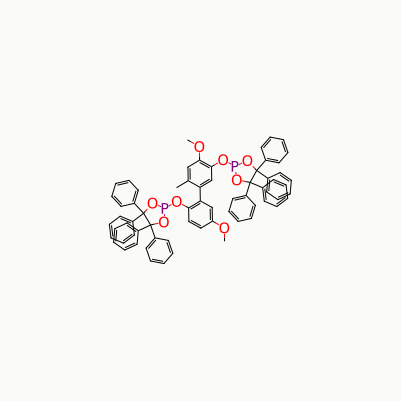 COc1ccc(OP2OC(c3ccccc3)(c3ccccc3)C(c3ccccc3)(c3ccccc3)O2)c(-c2cc(OP3OC(c4ccccc4)(c4ccccc4)C(c4ccccc4)(c4ccccc4)O3)c(OC)cc2C)c1